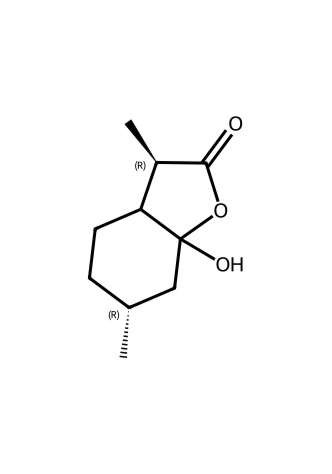 C[C@@H]1CCC2[C@@H](C)C(=O)OC2(O)C1